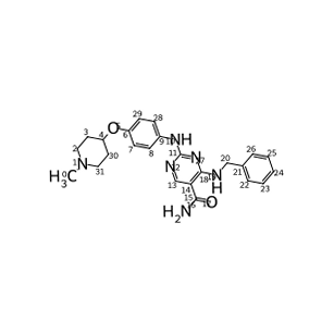 CN1CCC(Oc2ccc(Nc3ncc(C(N)=O)c(NCc4ccccc4)n3)cc2)CC1